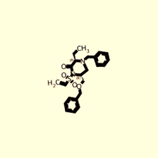 C=CS(=O)(=O)N1C(=O)[C@@H](CC)N(Cc2ccccc2)C[C@@H]1COCc1ccccc1